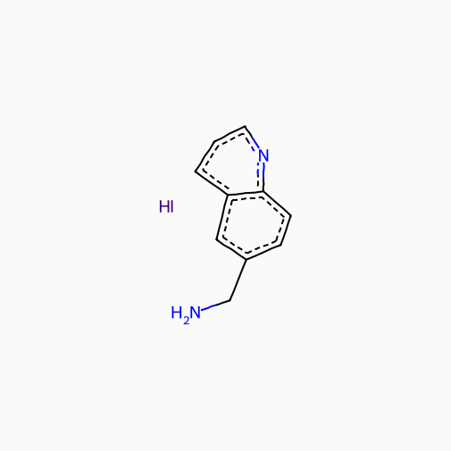 I.NCc1ccc2ncccc2c1